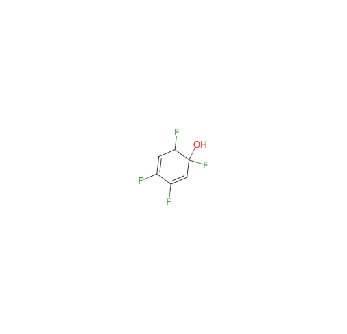 OC1(F)C=C(F)C(F)=CC1F